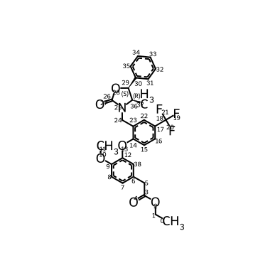 CCOC(=O)Cc1ccc(OC)c(Oc2ccc(C(F)(F)F)cc2CN2C(=O)O[C@@H](c3ccccc3)[C@H]2C)c1